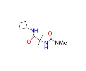 CNC(=O)NC(C)(C)C(=O)NC1CCC1